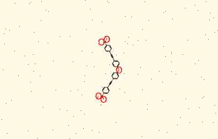 COC(=O)c1ccc(C#Cc2ccc(Oc3ccc(C#Cc4ccc(C(=O)OC)cc4)cc3)cc2)cc1